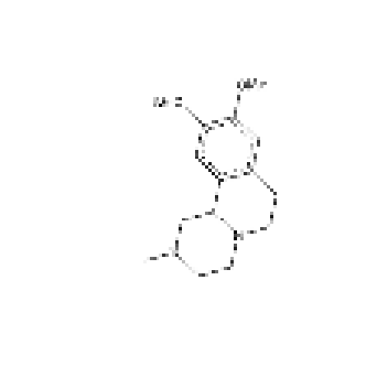 COc1cc2c(cc1OC)C1CN(C)CCN1CC2